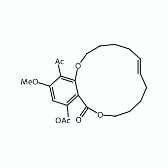 COc1cc(OC(C)=O)c2c(c1C(C)=O)OCCCC/C=C/CCCCOC2=O